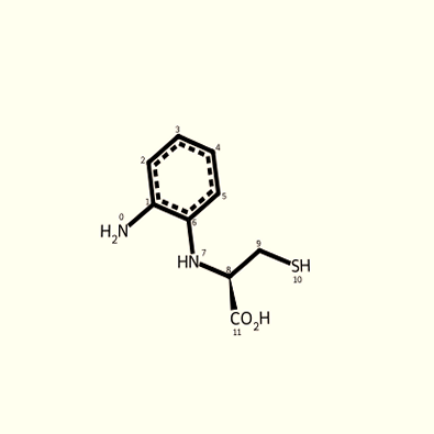 Nc1ccccc1N[C@@H](CS)C(=O)O